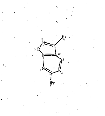 CCc1noc2nc(C(C)C)ncc12